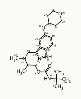 CC(COC(=O)NC(C)(C)C)N(C)Cc1n[nH]c2ccc(OC3CCOCC3)cc12